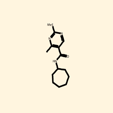 CSc1ncc(C(=O)NC2CCCCCC2)c(C)n1